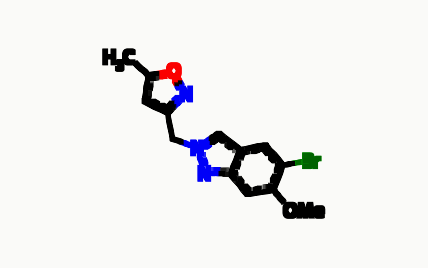 COc1cc2nn(Cc3cc(C)on3)cc2cc1Br